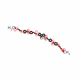 C=CC(=O)OCCCCOc1ccc(C(=O)Oc2ccc(CCC(=O)Oc3ccc4c(c3)C(C)c3cc(OC(=O)CCc5ccc(OC(=O)c6ccc(OCCCCOC(=O)C=C)cc6)cc5)ccc3-4)cc2)cc1